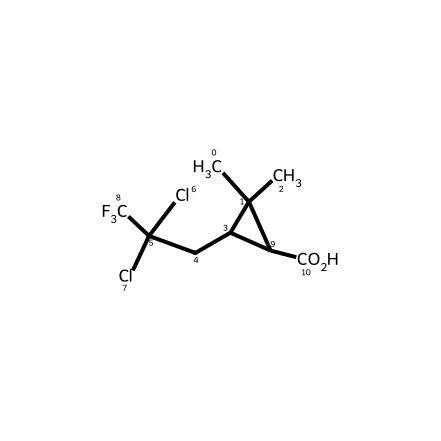 CC1(C)C(CC(Cl)(Cl)C(F)(F)F)C1C(=O)O